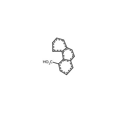 O=C(O)c1cccc2ccc3ccccc3c12